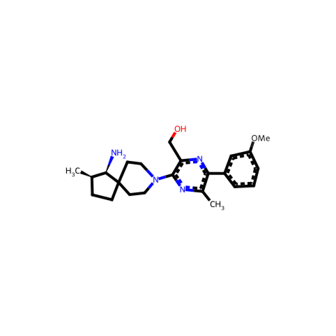 COc1cccc(-c2nc(CO)c(N3CCC4(CC[C@@H](C)[C@H]4N)CC3)nc2C)c1